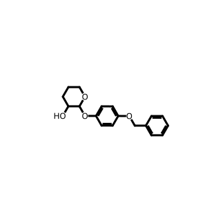 OC1CCCOC1Oc1ccc(OCc2ccccc2)cc1